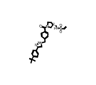 C=CS(=O)(=O)NC[C@H]1CCN(C(=O)c2ccc(Cn3cc(-c4ccc(C(C)(C)C)cc4)nn3)cc2)C1